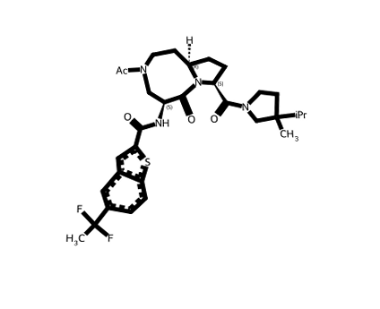 CC(=O)N1CC[C@H]2CC[C@@H](C(=O)N3CCC(C)(C(C)C)C3)N2C(=O)[C@@H](NC(=O)c2cc3cc(C(C)(F)F)ccc3s2)C1